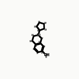 Oc1ccc2c(c1)CN(C1CCCC1)CC2